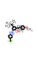 COc1ccc(C(C)(C)c2cc(C(C)(C)C)cc(-n3nc4ccc(C(F)(F)F)cc4n3)c2O)cc1